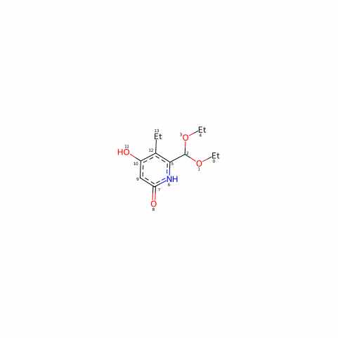 CCOC(OCC)c1[nH]c(=O)cc(O)c1CC